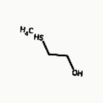 C.OCCS